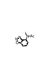 CC(=O)N(I)c1cccc2onnc12